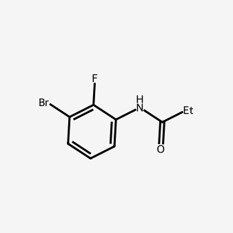 CCC(=O)Nc1cccc(Br)c1F